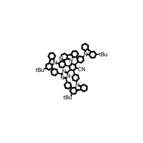 CC(C)(C)c1ccc2c(c1)c1ccccc1n2-c1ccc(-c2c(C#N)c(-c3ccc(-n4c5ccccc5c5cc(C(C)(C)C)ccc54)cc3)c(-n3c4ccccc4c4ccncc43)c(-c3ccc(-n4c5ccccc5c5cc(C(C)(C)C)ccc54)cc3)c2-c2nc(-c3ccccc3)nc(-c3ccccc3)n2)cc1